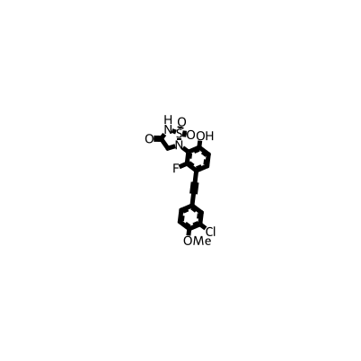 COc1ccc(C#Cc2ccc(O)c(N3CC(=O)NS3(=O)=O)c2F)cc1Cl